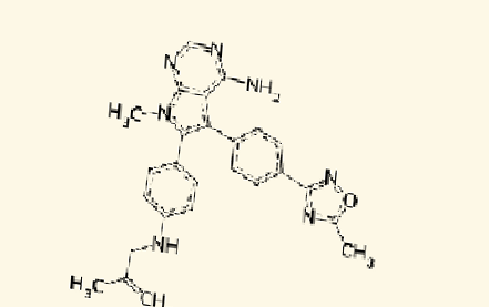 C=C(C)CNc1ccc(-c2c(-c3ccc(-c4noc(C)n4)cc3)c3c(N)ncnc3n2C)cc1